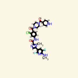 CNc1nc(F)c(-c2cnc(C(=O)Nc3ccc(C(=O)N4CCN(C(=O)C5CCNCC5)CC4)c(Cl)c3)n2C)cc1F